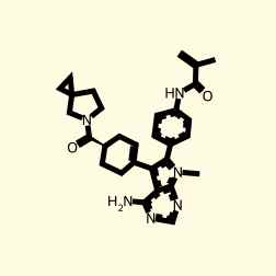 C=C(C)C(=O)Nc1ccc(-c2c(C3=CC[C@H](C(=O)N4CCC5(CC5)C4)CC3)c3c(N)ncnc3n2C)cc1